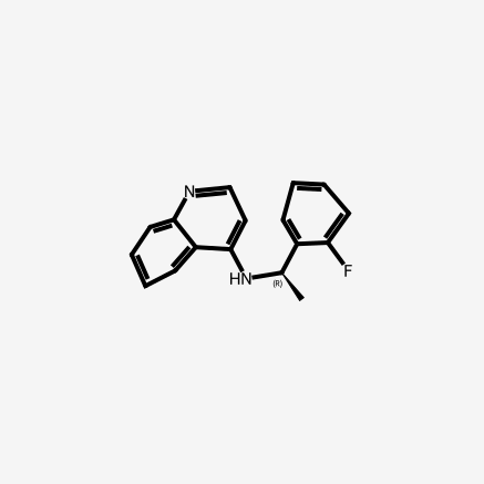 C[C@@H](Nc1ccnc2ccccc12)c1ccccc1F